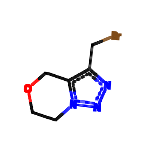 BrCc1nnn2c1COCC2